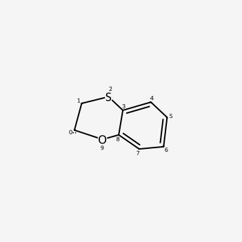 [C]1CSc2ccccc2O1